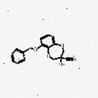 N#CC1(O)COc2cccc(OCc3ccccc3)c2OC1